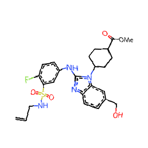 C=CCNS(=O)(=O)c1cc(Nc2nc3ccc(CO)cc3n2C2CCC(C(=O)OC)CC2)ccc1F